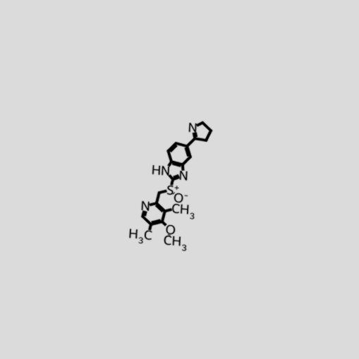 COc1c(C)cnc(C[S+]([O-])c2nc3cc(C4=NCCC4)ccc3[nH]2)c1C